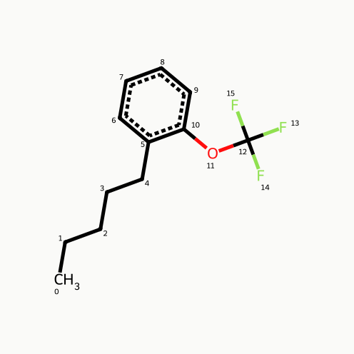 CCCCCc1ccccc1OC(F)(F)F